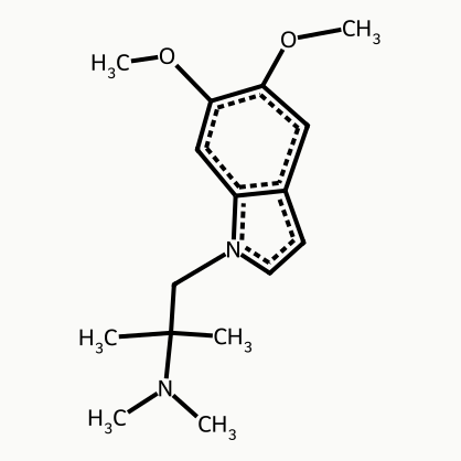 COc1cc2ccn(CC(C)(C)N(C)C)c2cc1OC